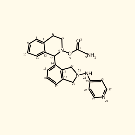 NC(=O)ON1CCc2ccccc2C1c1cccc2c1CN(Nc1ccncc1)C2